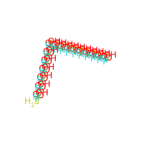 O=S(=O)(O)C(F)(F)F.O=S(=O)(O)C(F)(F)F.O=S(=O)(O)C(F)(F)F.O=S(=O)(O)C(F)(F)F.O=S(=O)(O)C(F)(F)F.O=S(=O)(O)C(F)(F)F.O=S(=O)(O)C(F)(F)F.O=S(=O)(O)C(F)(F)F.O=S(=O)(O)C(F)(F)F.O=S(=O)(O)C(F)(F)F.O=S(=O)(O)C(F)(F)F.O=S(=O)(O)C(F)(F)F.O=S(=O)(O)C(F)(F)F.O=S(=O)(O)C(F)(F)F.O=S(=O)(O)C(F)(F)F.O=S(=O)(O)C(F)(F)F.S